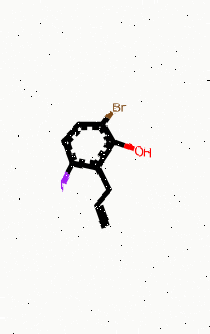 C=CCc1c(I)ccc(Br)c1O